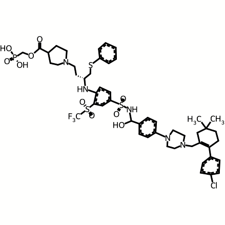 CC1(C)CCC(c2ccc(Cl)cc2)=C(CN2CCN(c3ccc(C(O)NS(=O)(=O)c4ccc(N[C@H](CCN5CCC(C(=O)OCP(=O)(O)O)CC5)CSc5ccccc5)c(S(=O)(=O)C(F)(F)F)c4)cc3)CC2)C1